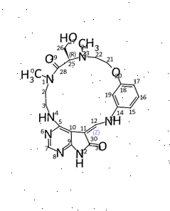 CN1CCNc2ncnc3c2/C(=C/Nc2cccc(c2)OCCN(C)[C@H](CO)C1=O)C(=O)N3